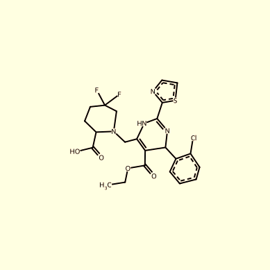 CCOC(=O)C1=C(CN2CC(F)(F)CCC2C(=O)O)NC(c2nccs2)=NC1c1ccccc1Cl